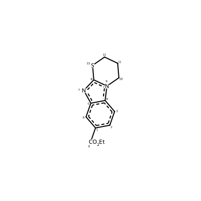 CCOC(=O)c1ccc2c(c1)nc1n2CCCS1